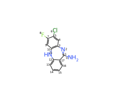 NC1=Nc2cc(Cl)c(F)cc2Nc2ccccc21